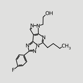 CCCCc1nc2c(cnn2CCO)c2nc(-c3ccc(F)cc3)nn12